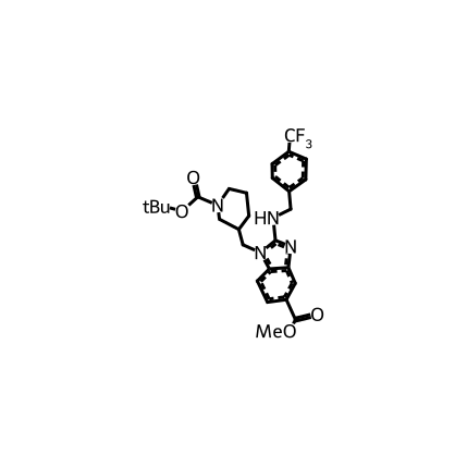 COC(=O)c1ccc2c(c1)nc(NCc1ccc(C(F)(F)F)cc1)n2CC1CCCN(C(=O)OC(C)(C)C)C1